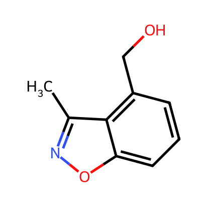 Cc1noc2cccc(CO)c12